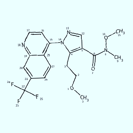 COCCc1c(C(=O)N(C)OC)cnn1-c1ccnc2cc(C(F)(F)F)ccc12